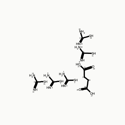 N=C(N)S.N=C(N)S.N=C(N)S.N=C(N)S.N=C(N)S.O=C(O)CCC(=O)O